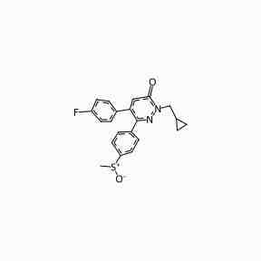 C[S+]([O-])c1ccc(-c2nn(CC3CC3)c(=O)cc2-c2ccc(F)cc2)cc1